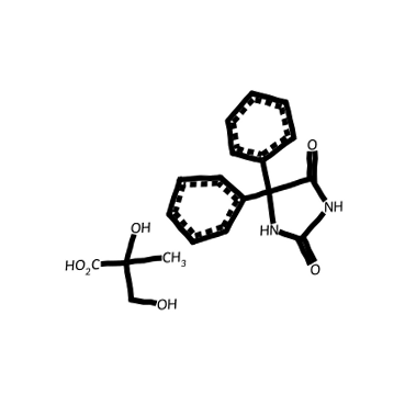 CC(O)(CO)C(=O)O.O=C1NC(=O)C(c2ccccc2)(c2ccccc2)N1